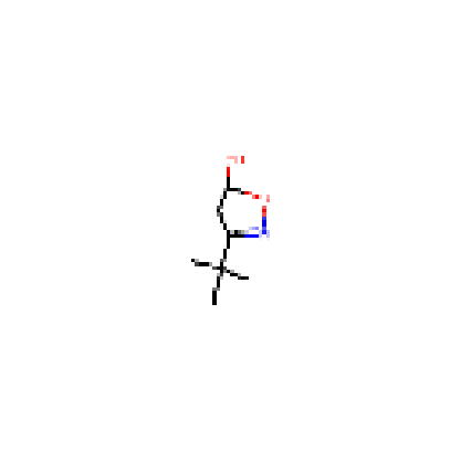 CC(C)(C)C1=NOC(O)C1